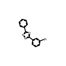 CC(C)c1cccc(-c2nnc(-c3ccccc3)o2)c1